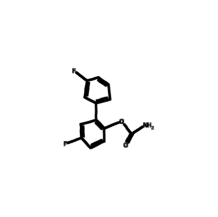 NC(=O)Oc1ccc(F)cc1-c1cccc(F)c1